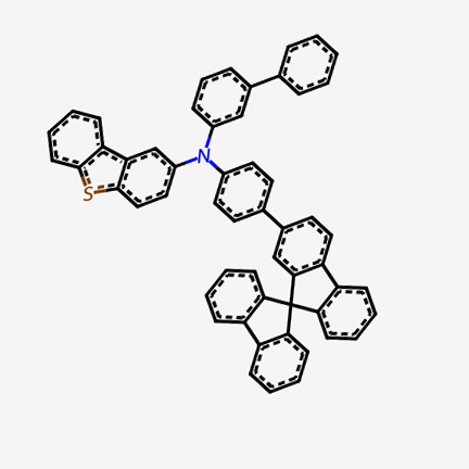 c1ccc(-c2cccc(N(c3ccc(-c4ccc5c(c4)C4(c6ccccc6-c6ccccc64)c4ccccc4-5)cc3)c3ccc4sc5ccccc5c4c3)c2)cc1